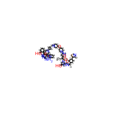 Cc1ncsc1-c1ccc([C@H](C)NC(=O)[C@@H]2C[C@@H](O)CN2C(=O)[C@@H](c2cc(N3CCC(OC4CCN(C[C@H]5C[C@@H](N6CCO[C@@H](CN7C8CCC7CN(c7cc(-c9ccccc9O)nnc7N)C8)C6)C5)CC4)CC3)no2)C(C)C)cc1